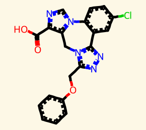 O=C(O)c1ncn2c1Cn1c(COc3ccccc3)nnc1-c1cc(Cl)ccc1-2